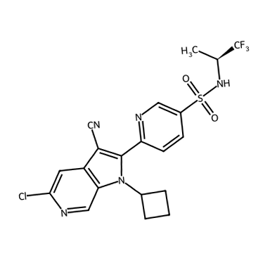 C[C@H](NS(=O)(=O)c1ccc(-c2c(C#N)c3cc(Cl)ncc3n2C2CCC2)nc1)C(F)(F)F